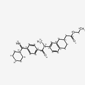 CCOC(=O)CC1CCc2ccc(N(C)C(=O)c3ccc(C(=N)N4CCSCC4)cc3)cc2C1